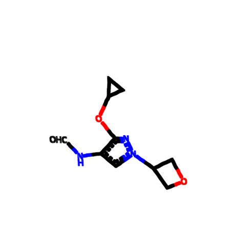 O=CNc1cn(C2COC2)nc1OC1CC1